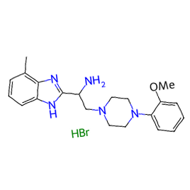 Br.COc1ccccc1N1CCN(CC(N)c2nc3c(C)cccc3[nH]2)CC1